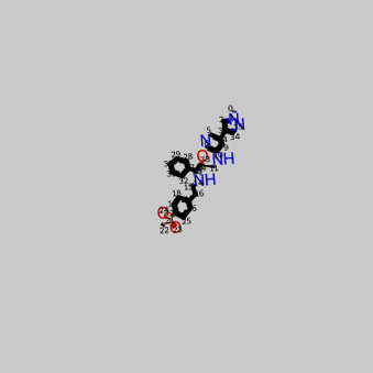 Cn1cc(-c2cnc3c(c2)NC[C@@H]([C@H](NCCc2ccc(S(C)(=O)=O)cc2)c2ccccc2)O3)cn1